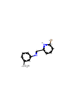 O=C(O)c1cccc(/N=C/c2cccc(Br)n2)c1